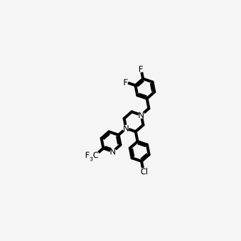 Fc1ccc(CN2CCN(c3ccc(C(F)(F)F)nc3)C(c3ccc(Cl)cc3)C2)cc1F